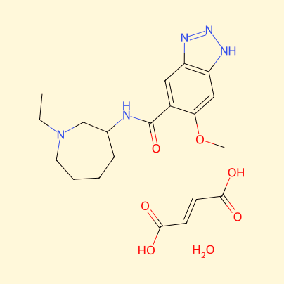 CCN1CCCCC(NC(=O)c2cc3nn[nH]c3cc2OC)C1.O.O=C(O)C=CC(=O)O